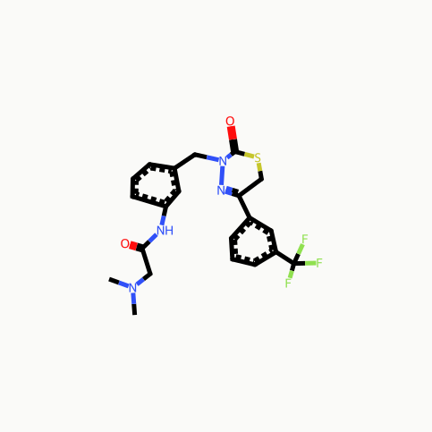 CN(C)CC(=O)Nc1cccc(CN2N=C(c3cccc(C(F)(F)F)c3)CSC2=O)c1